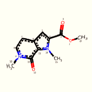 COC(=O)c1cc2ccn(C)c(=O)c2n1C